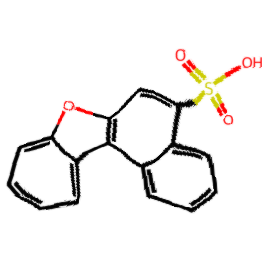 O=S(=O)(O)c1cc2oc3ccccc3c2c2ccccc12